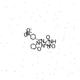 COc1ccccc1-n1c(-c2ccc([N+](=O)[O-])cc2)cn2c3c(=O)[nH]c(=O)n(C)c3nc12